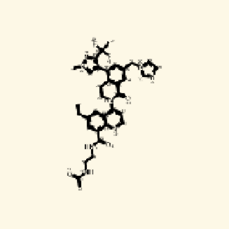 CCc1cc(C(=O)NCCNC(C)=O)c2nccc(N3CCc4c(cc(Cn5ccnc5)cc4-c4cn(C)nc4C(F)(F)F)C3=O)c2c1